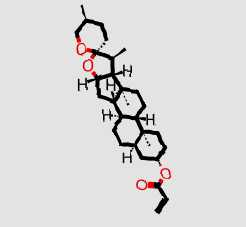 C=CC(=O)O[C@H]1CC[C@@]2(C)[C@H](CC[C@@H]3[C@@H]2CC[C@]2(C)[C@@H]4[C@H](C[C@@H]32)O[C@]2(CC[C@H](C)CO2)[C@H]4C)C1